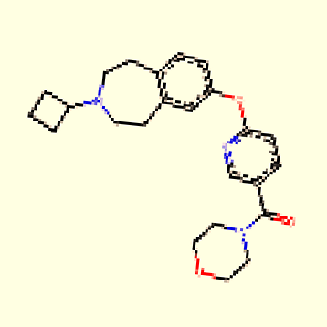 O=C(c1ccc(Oc2ccc3c(c2)CCN(C2CCC2)CC3)nc1)N1CCOCC1